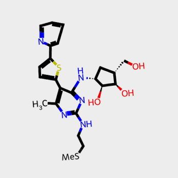 CSCCNc1nc(C)c(-c2ccc(-c3ccccn3)s2)c(N[C@@H]2C[C@H](CO)[C@@H](O)[C@H]2O)n1